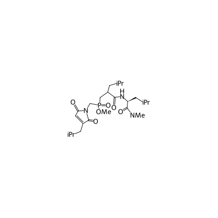 CNC(=O)[C@H](CC(C)C)NC(=O)C(CC(C)C)CP(=O)(CN1C(=O)C=C(CC(C)C)C1=O)OC